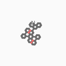 c1ccc(-c2ccccc2-c2c3ccccc3c(-c3ccccc3-c3ccccc3)c3cc(-c4cc5ccccc5c5ncccc45)ccc23)cc1